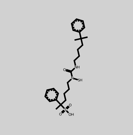 CC(C)(CCCCNC(=O)N(S)CCCCC(C)(c1ccccc1)S(=O)(=O)O)c1ccccc1